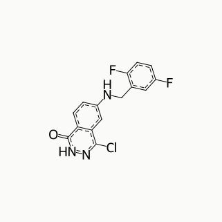 O=c1[nH]nc(Cl)c2cc(NCc3cc(F)ccc3F)ccc12